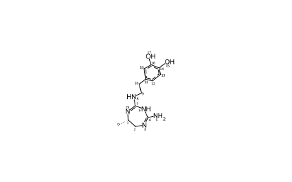 C[C@H]1CN=C(N)NC(NCCc2ccc(O)c(O)c2)=N1